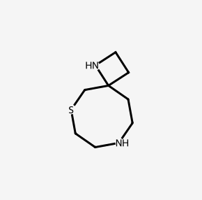 C1CSCC2(CCN1)CCN2